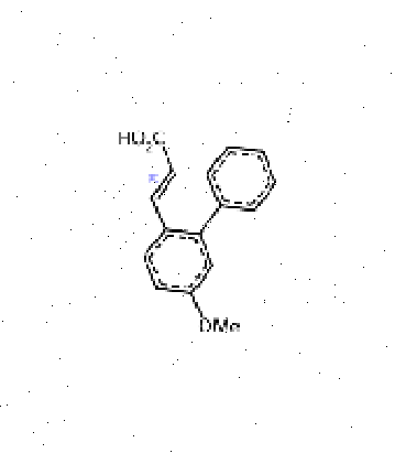 COc1ccc(/C=C/C(=O)O)c(-c2ccccc2)c1